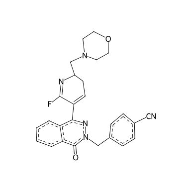 N#Cc1ccc(Cn2nc(C3=CCC(CN4CCOCC4)N=C3F)c3ccccc3c2=O)cc1